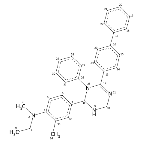 CCN(C)c1ccc(C2NCN=C(c3ccc(-c4ccccc4)cc3)N2c2ccccc2)cc1C